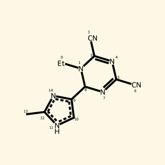 CCN1C(C#N)=NC(C#N)=NC1c1c[nH]c(C)n1